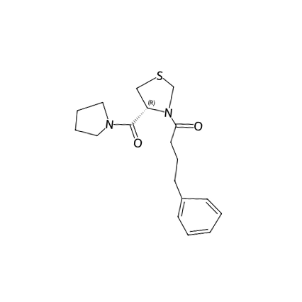 O=C([C@@H]1CSCN1C(=O)CCCc1ccccc1)N1CCCC1